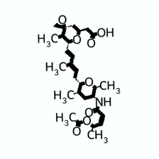 CC(=O)O[C@@H](C)/C=C\C(=O)N[C@@H]1C[C@H](C)[C@H](C/C=C(C)/C=C/[C@H]2O[C@H](CC(=O)O)C[C@@]3(CO3)C2C)O[C@@H]1C